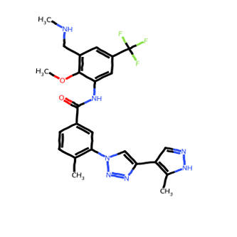 CNCc1cc(C(F)(F)F)cc(NC(=O)c2ccc(C)c(-n3cc(-c4cn[nH]c4C)nn3)c2)c1OC